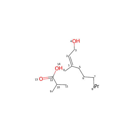 C/C(=C/CO)CCCC(C)C.CC(C)C(=O)O